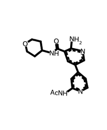 CC(=O)Nc1cc(-c2cnc(N)c(C(=O)NC3CCOCC3)c2)ccn1